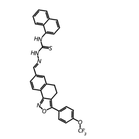 FC(F)(F)Oc1ccc(-c2onc3c2CCc2cc(C=NNC(=S)Nc4cccc5ccccc45)ccc2-3)cc1